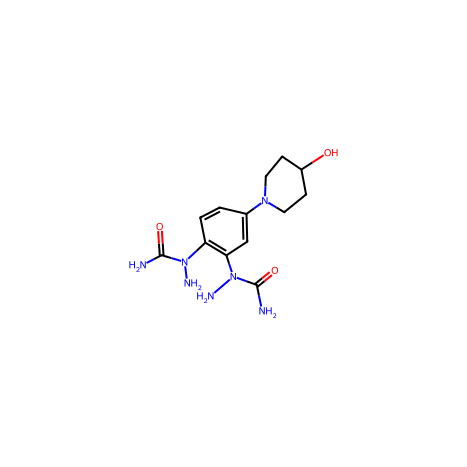 NC(=O)N(N)c1ccc(N2CCC(O)CC2)cc1N(N)C(N)=O